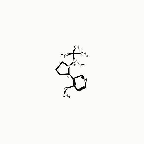 COc1ccncc1[C@H]1CCCN1[S@@+]([O-])C(C)(C)C